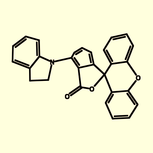 O=C1OC2(c3ccccc3Oc3ccccc32)c2cccc(N3CCc4ccccc43)c21